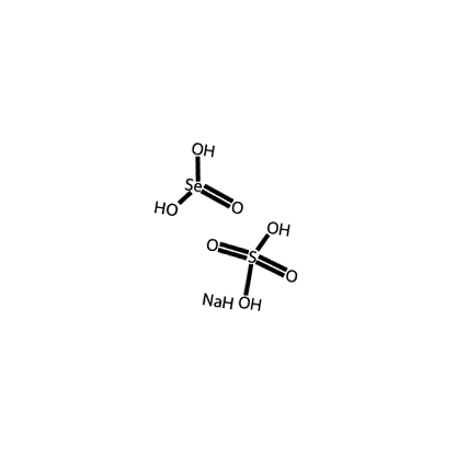 O=S(=O)(O)O.O=[Se](O)O.[NaH]